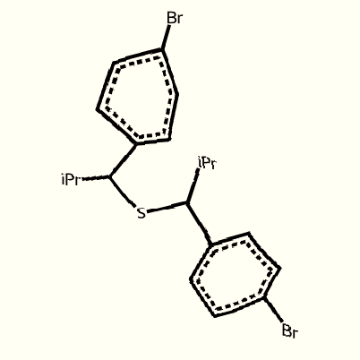 CC(C)C(SC(c1ccc(Br)cc1)C(C)C)c1ccc(Br)cc1